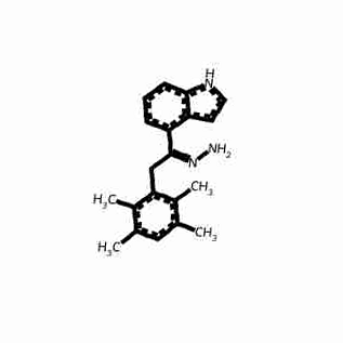 Cc1cc(C)c(C)c(CC(=NN)c2cccc3[nH]ccc23)c1C